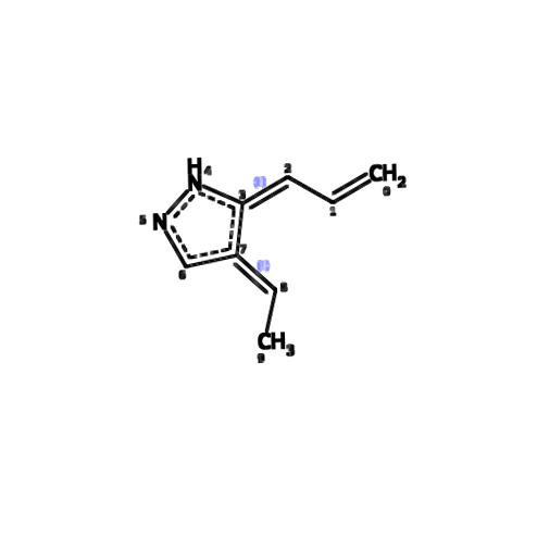 C=C/C=c1/[nH]nc/c1=C\C